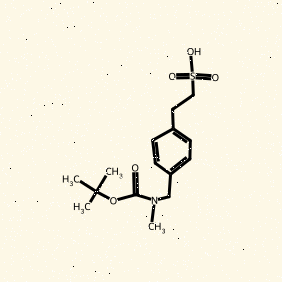 CN(Cc1ccc(CCS(=O)(=O)O)cc1)C(=O)OC(C)(C)C